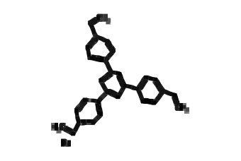 C=Cc1ccc(-c2cc(-c3ccc(C=C)cc3)cc(-c3ccc(C=C)cc3)c2)cc1.[Ru]